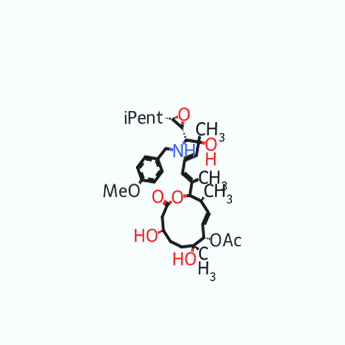 CCC[C@@H](C)[C@H]1O[C@@H]1C(NCc1ccc(OC)cc1)C(C)(O)/C=C/C=C(\C)C1OC(=O)C[C@H](O)CC[C@@](C)(O)[C@@H](OC(C)=O)/C=C/[C@@H]1C